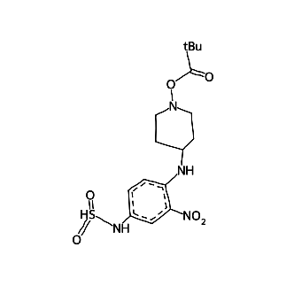 CC(C)(C)C(=O)ON1CCC(Nc2ccc(N[SH](=O)=O)cc2[N+](=O)[O-])CC1